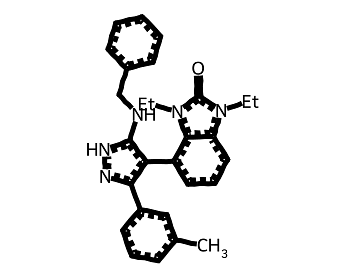 CCn1c(=O)n(CC)c2c(-c3c(-c4cccc(C)c4)n[nH]c3NCc3ccccc3)cccc21